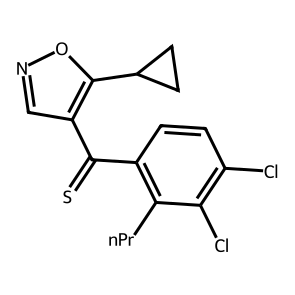 CCCc1c(C(=S)c2cnoc2C2CC2)ccc(Cl)c1Cl